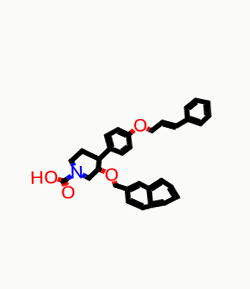 O=C(O)N1CCC(c2ccc(OCC=Cc3ccccc3)cc2)C(OCc2ccc3ccccc3c2)C1